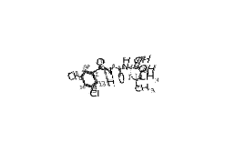 CC(C)C[C@H](NC(=O)CNC(=O)c1cc(Cl)cc(Cl)c1)B(O)O